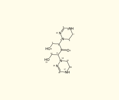 O=C(C(CO)N1CCNC=N1)C(CO)N1CCNC=N1